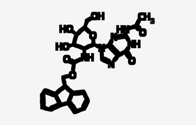 CC(=O)Nc1nc2c(ncn2[C@@H]2O[C@H](CO)[C@@H](O)[C@H](O)[C@@H]2NC(=O)OCC2c3ccccc3-c3ccccc32)c(=O)[nH]1